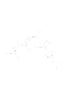 [O-][Cl+2]([O-])[O-].[O-][Cl+2]([O-])[O-].[O-][Cl+2]([O-])[O-].[O-][Cl+2]([O-])[O-].[O-][Cl+2]([O-])[O-].[V+5]